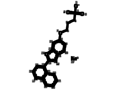 O=S(=O)([O-])CCCOc1ccc2nc(-c3ccnc4ccccc34)oc2c1.[Na+]